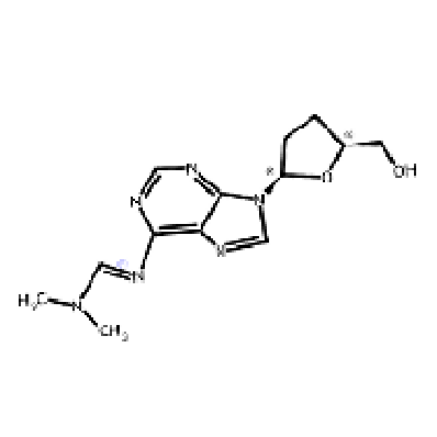 CN(C)/C=N/c1ncnc2c1ncn2[C@H]1CC[C@@H](CO)O1